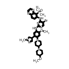 COc1cc(N2CCC(N3CCC(OC)CC3)CC2)c(C2C=NN(C)C2)cc1Nc1ncc(Br)c(Nc2ccc3nccnc3c2P(C)(C)=O)n1